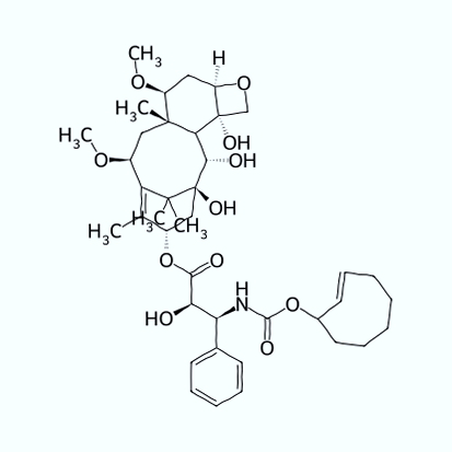 CO[C@H]1C[C@@]2(C)C([C@H](O)[C@]3(O)C[C@H](OC(=O)[C@H](O)[C@@H](NC(=O)OC4/C=C/CCCCC4)c4ccccc4)C(C)=C1C3(C)C)[C@]1(O)CO[C@@H]1C[C@@H]2OC